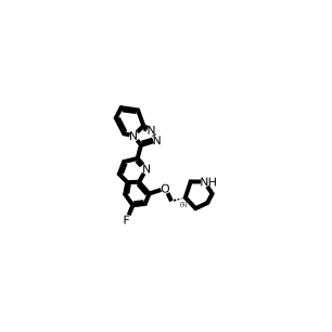 Fc1cc(OC[C@H]2CCCNC2)c2nc(-c3nnc4ccccn34)ccc2c1